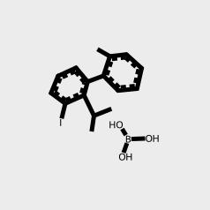 Cc1ccccc1-c1cccc(I)c1C(C)C.OB(O)O